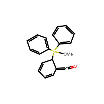 COS(c1ccccc1)(c1ccccc1)C1C=CC=CC1=C=O